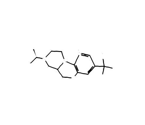 C[C@H](I)N1CCN2c3ncc(C(F)(F)F)cc3OCC2C1